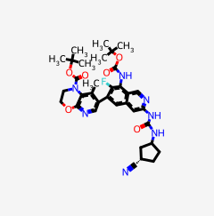 Cc1c(-c2cc3cc(NC(=O)NC4CC[C@H](C#N)C4)ncc3c(NC(=O)OC(C)(C)C)c2F)cnc2c1N(C(=O)OC(C)(C)C)CCO2